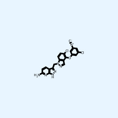 [C-]#[N+]c1cc(Cl)cc(Oc2c(Cl)ccc3c2cnn3Cc2n[nH]c3nc(N)ccc23)c1